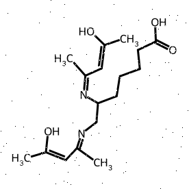 CC(O)=CC(C)=NCC(CCCCC(=O)O)N=C(C)C=C(C)O